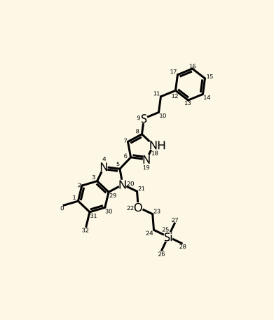 Cc1cc2nc(-c3cc(SCCc4ccccc4)[nH]n3)n(COCC[Si](C)(C)C)c2cc1C